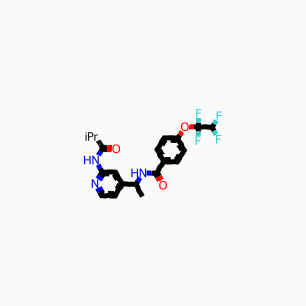 CC(C)C(=O)Nc1cc(C(C)NC(=O)c2ccc(OC(F)(F)C(F)F)cc2)ccn1